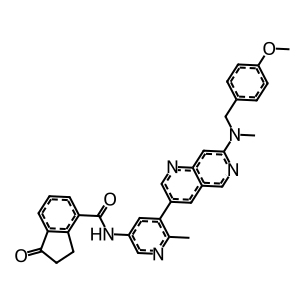 COc1ccc(CN(C)c2cc3ncc(-c4cc(NC(=O)c5cccc6c5CCC6=O)cnc4C)cc3cn2)cc1